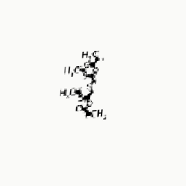 C=CC(=O)OC(CSCC(OC(=O)C=C)SCC)SCC